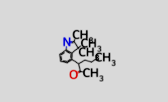 CCCC(C(C)=O)c1cccc2c1C(C)(C)C(C)=N2